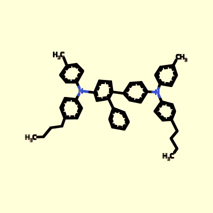 CCCCc1ccc(N(c2ccc(C)cc2)c2ccc(-c3ccc(N(c4ccc(C)cc4)c4ccc(CCCC)cc4)cc3-c3ccccc3)cc2)cc1